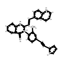 Cc1cc(C#Cc2cccs2)ccc1-n1c(C=Cc2ccc3ncccc3c2)nc2ccccc2c1=O